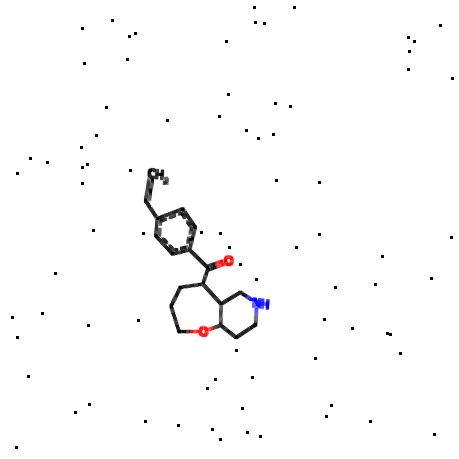 C=Cc1ccc(C(=O)C2CCCOC3CCNCC32)cc1